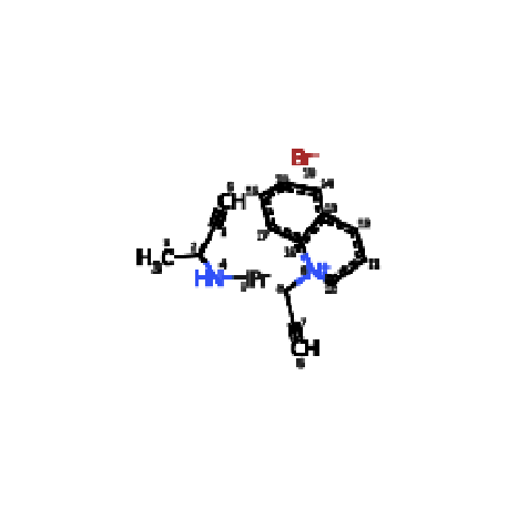 C#CC(C)NC(C)C.C#CC[n+]1cccc2ccccc21.[Br-]